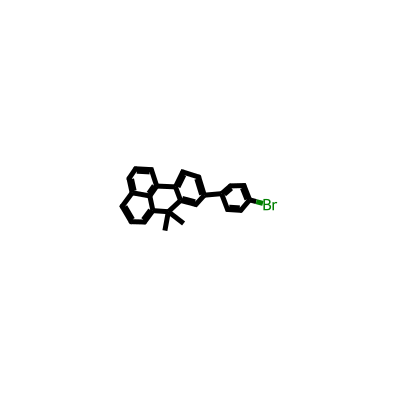 CC1(C)c2cc(-c3ccc(Br)cc3)ccc2-c2cccc3cccc1c23